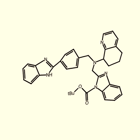 CC(C)(C)OC(=O)n1c(CN(Cc2ccc(-c3nc4ccccc4[nH]3)cc2)C2CCCc3cccnc32)nc2ccccc21